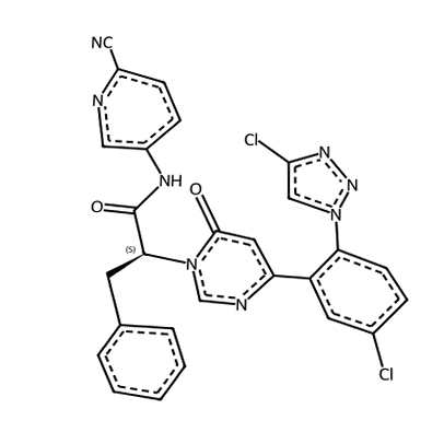 N#Cc1ccc(NC(=O)[C@H](Cc2ccccc2)n2cnc(-c3cc(Cl)ccc3-n3cc(Cl)nn3)cc2=O)cn1